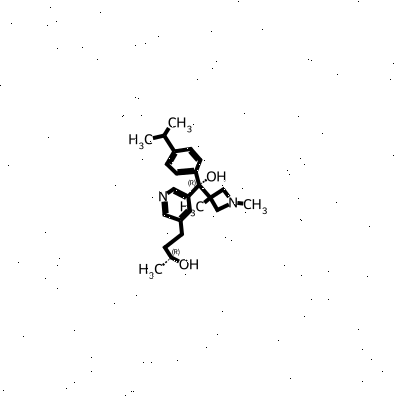 CC(C)c1ccc([C@](O)(c2cncc(CC[C@@H](C)O)c2)C2(C)CN(C)C2)cc1